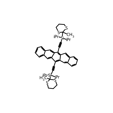 CC(C)[Si](C#Cc1c2cc3ccccc3cc2c(C#C[Si](C(C)C)(C(C)C)C2(C)SCCCS2)c2cc3ccccc3cc12)(C(C)C)C1(C)SCCCS1